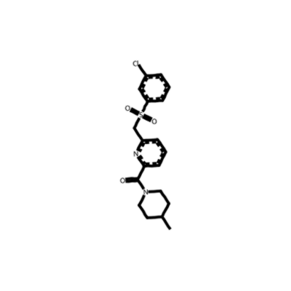 CC1CCN(C(=O)c2cccc(CS(=O)(=O)c3cccc(Cl)c3)n2)CC1